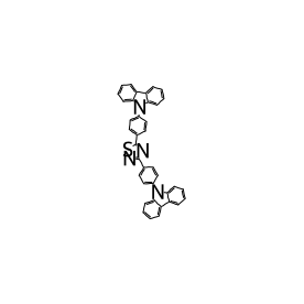 c1ccc2c(c1)c1ccccc1n2-c1ccc(-c2nsc(-c3ccc(-n4c5ccccc5c5ccccc54)cc3)n2)cc1